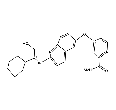 CNC(=O)c1cc(Oc2ccc3nc(N[C@H](CO)C4CCCCC4)ccc3c2)ccn1